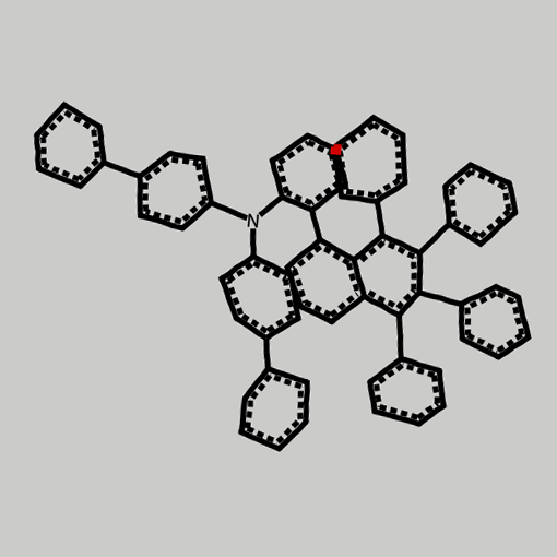 c1ccc(-c2ccc(N(c3ccc(-c4ccccc4)cc3)c3ccccc3-c3cccc4c(-c5ccccc5)c(-c5ccccc5)c(-c5ccccc5)c(-c5ccccc5)c34)cc2)cc1